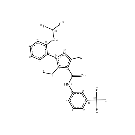 CCc1c(C(=O)Nc2cccc(C(C)(F)F)c2)c(C)nn1-c1ccccc1OC(F)F